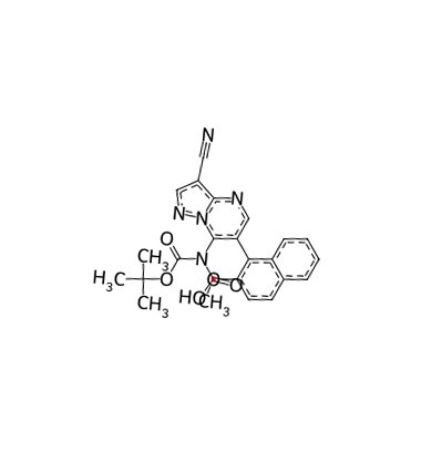 COc1ccc2ccccc2c1-c1cnc2c(C#N)cnn2c1N(C(=O)O)C(=O)OC(C)(C)C